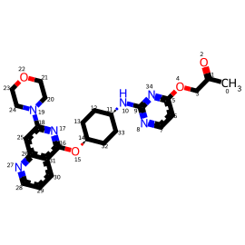 CC(=O)COc1ccnc(N[C@H]2CC[C@@H](Oc3nc(N4CCOCC4)cc4ncccc34)CC2)n1